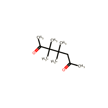 CC(=O)CC(C)(C)C(C)(C)C(C)=O